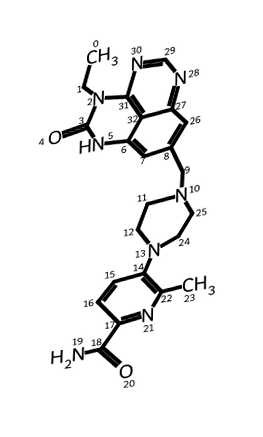 CCN1C(=O)Nc2cc(CN3CCN(c4ccc(C(N)=O)nc4C)CC3)cc3ncnc1c23